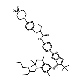 CCCCC(CC)CN1c2cc(C)c(/N=C3/C(C(C)(C)C)=Nn4nc(-c5ccc(NC(=O)C(CC)Oc6ccc(N7CCS(=O)(=O)CC7)cc6)cc5)nc43)cc2C(C)CC1(C)C